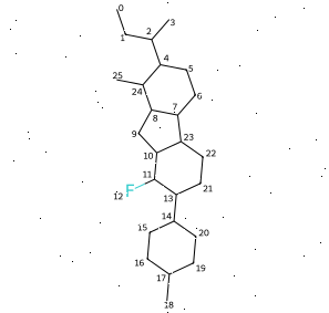 CCC(C)C1CCC2C(CC3C(F)C(C4CCC(C)CC4)CCC32)C1C